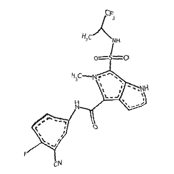 CC(NS(=O)(=O)c1c2[nH]ccc2c(C(=O)Nc2ccc(F)c(C#N)c2)n1C)C(F)(F)F